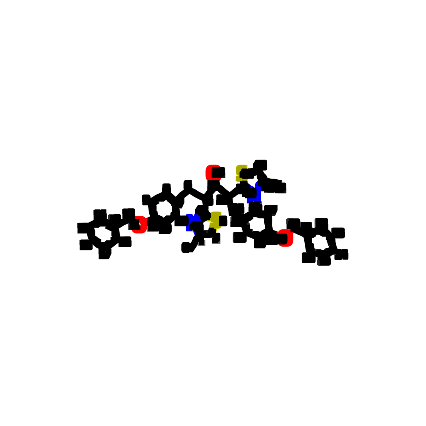 Cc1csc(C(Cc2ccc(OCc3ccccc3)cc2)C(=O)C(Cc2ccc(OCc3ccccc3)cc2)c2nc(C)cs2)n1